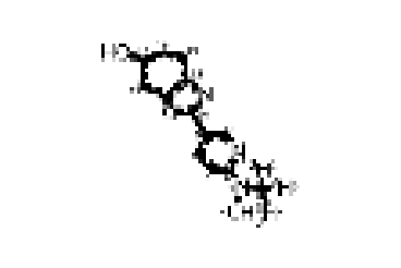 [3H]C([3H])([3H])N(C)c1ccc(-c2nc3ccc(O)cc3o2)cn1